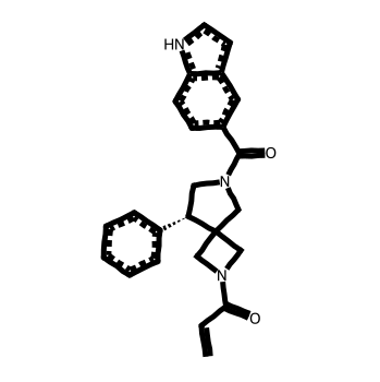 C=CC(=O)N1CC2(C1)CN(C(=O)c1ccc3[nH]ccc3c1)C[C@H]2c1ccccc1